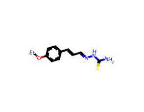 CCOc1ccc(C=CC=NNC(N)=S)cc1